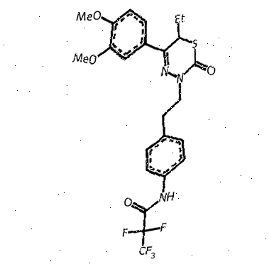 CCC1SC(=O)N(CCc2ccc(NC(=O)C(F)(F)C(F)(F)F)cc2)N=C1c1ccc(OC)c(OC)c1